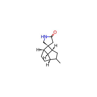 CC1C[C@@H]2[C@@H]3[C@H]1CC[C@@H]3[C@@]21CNC(=O)C1